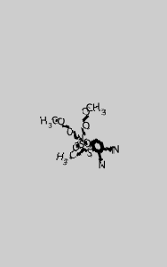 CCC(Sc1cccc(C#N)c1C#N)S(=O)(=O)N(CCOCCOC)CCOCCOC